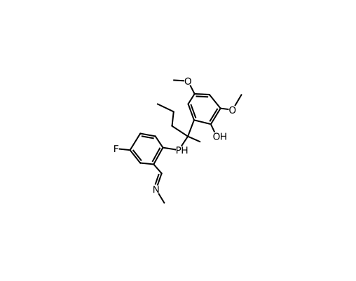 CCCC(C)(Pc1ccc(F)cc1/C=N/C)c1cc(OC)cc(OC)c1O